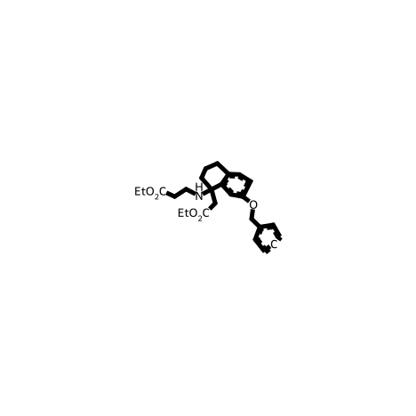 CCOC(=O)CCNC1(CC(=O)OCC)CCCc2ccc(OCc3ccccc3)cc21